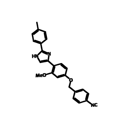 [C-]#[N+]c1ccc(COc2ccc(-c3c[nH]c(-c4ccc(C)cc4)n3)c(OC)c2)cc1